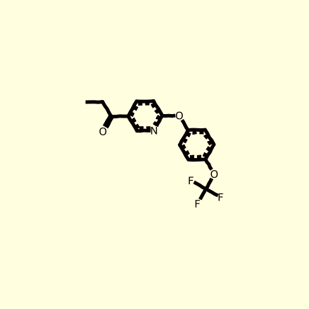 CCC(=O)c1ccc(Oc2ccc(OC(F)(F)F)cc2)nc1